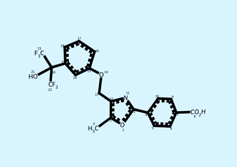 Cc1oc(-c2ccc(C(=O)O)cc2)nc1COc1cccc(C(O)(C(F)(F)F)C(F)(F)F)c1